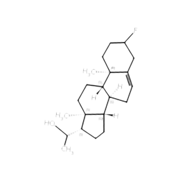 CC(O)[C@H]1CC[C@H]2[C@@H]3CC=C4CC(F)CC[C@]4(C)[C@H]3CC[C@]12C